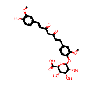 COc1cc(/C=C/C(=O)CC(=O)/C=C/c2ccc(O[C@@H]3O[C@H](C(=O)O)[C@@H](O)[C@H](O)[C@H]3O)c(OC)c2)ccc1O